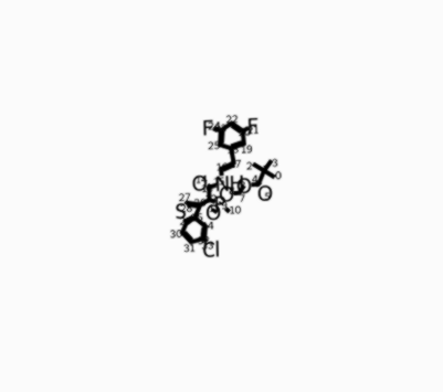 CC(C)(C)C(=O)OCOP(C)(=O)C(C(=O)N/C=C/c1cc(F)cc(F)c1)c1csc2ccc(Cl)cc12